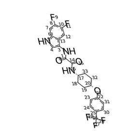 O=C(Nc1c[nH]c2cc(F)c(F)cc12)C(=O)N[C@H]1CC[C@@H](Oc2ccc(C(F)(F)F)cc2)CC1